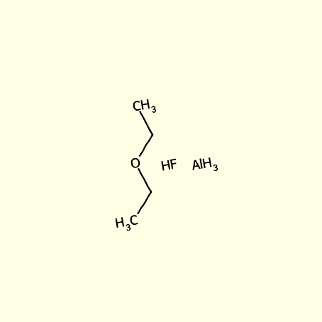 CCOCC.F.[AlH3]